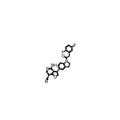 N#Cc1cnc(N)c2c(-c3ccc4c(c3)CCN4C(=O)Cc3cc(F)ccc3F)coc12